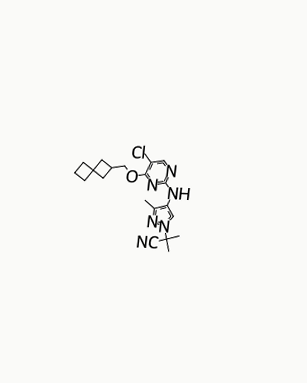 Cc1nn(C(C)(C)C#N)cc1Nc1ncc(Cl)c(OCC2CC3(CCC3)C2)n1